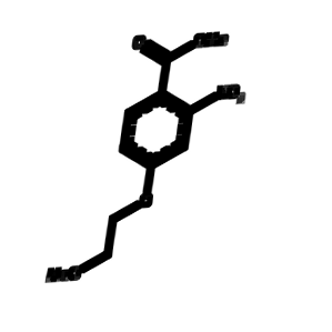 COCCOc1ccc(C(=O)OC)c([N+](=O)[O-])c1